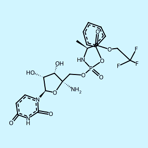 C[C@H](NP(=O)(OC[C@@]1(N)O[C@@H](n2ccc(=O)[nH]c2=O)[C@H](O)[C@@H]1O)Oc1ccccc1)C(=O)OCC(F)(F)F